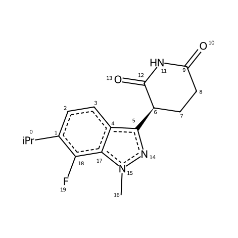 CC(C)c1ccc2c([C@@H]3CCC(=O)NC3=O)nn(C)c2c1F